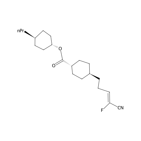 CCC[C@H]1CC[C@H](OC(=O)[C@H]2CC[C@H](CCC=C(F)C#N)CC2)CC1